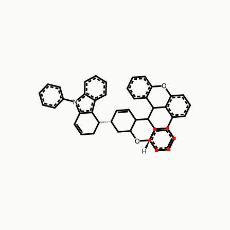 C1=CC[C@@H]2OC3C[C@H](C4CC=Cc5c4c4ccccc4n5-c4ccccc4)C=CC3C(C3c4ccccc4Oc4cccc(-c5ccccc5)c43)C2=C1